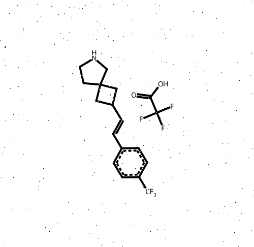 FC(F)(F)c1ccc(/C=C/C2CC3(CCNC3)C2)cc1.O=C(O)C(F)(F)F